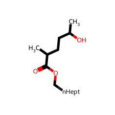 CCCCCCCCOC(=O)C(C)CCC(C)O